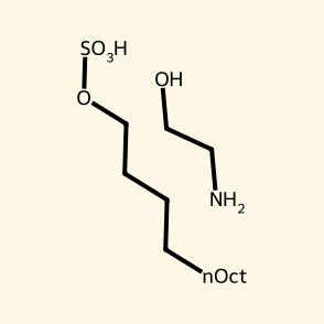 CCCCCCCCCCCCOS(=O)(=O)O.NCCO